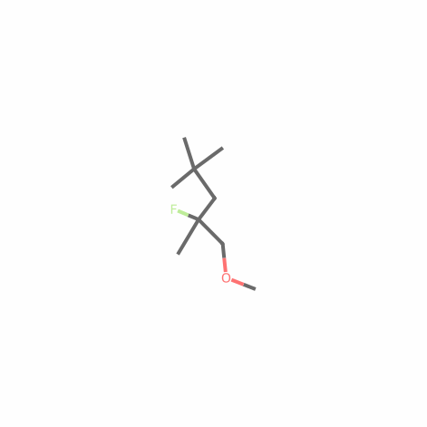 COCC(C)(F)CC(C)(C)C